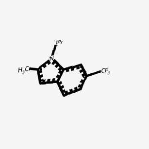 Cc1cc2ccc(C(F)(F)F)cc2n1C(C)C